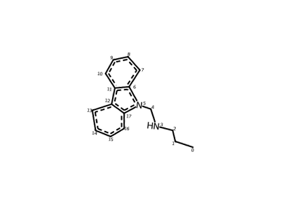 CCCNCn1c2ccccc2c2ccccc21